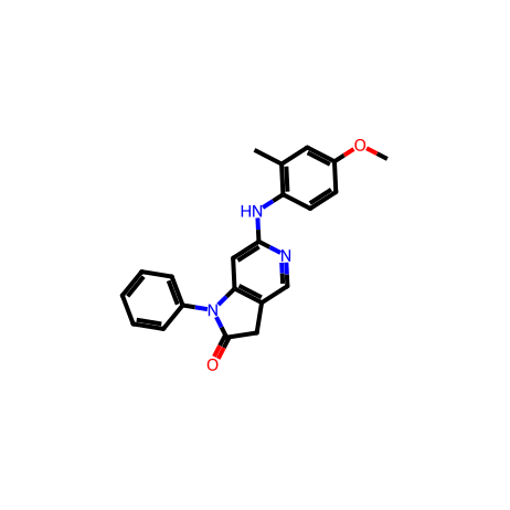 COc1ccc(Nc2cc3c(cn2)CC(=O)N3c2ccccc2)c(C)c1